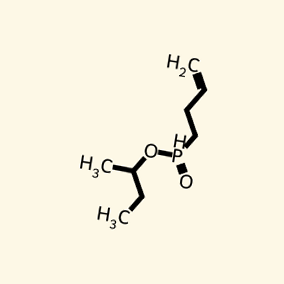 C=CCC[PH](=O)OC(C)CC